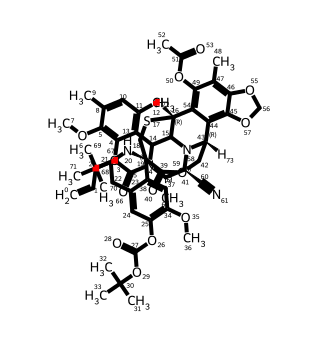 C=CCOc1c(OC)c(C)cc(C)c1C1C2[C@@H]3SC[C@]4(NCCc5cc(OC(=O)OC(C)(C)C)c(OC)cc54)C(=O)OC[C@@H](c4c5c(c(C)c(OC(C)=O)c43)OCO5)N2[C@@H](C#N)[C@H](C)N1C(=O)CC(C)(C)C